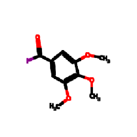 COc1cc(C(=O)I)cc(OC)c1OC